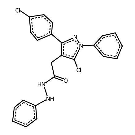 O=C(Cc1c(-c2ccc(Cl)cc2)nn(-c2ccccc2)c1Cl)NNc1ccccc1